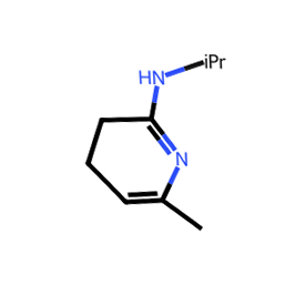 CC1=CCCC(NC(C)C)=N1